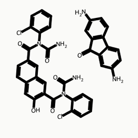 NC(=O)N(C(=O)c1ccc2cc(O)c(C(=O)N(C(N)=O)c3ccccc3Cl)cc2c1)c1ccccc1Cl.Nc1ccc2c(c1)C(=O)c1cc(N)ccc1-2